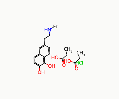 CCC(=O)O.CCC(=O)O.CCNCCc1ccc2c(O)c(O)ccc2c1.Cl